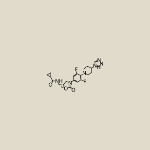 O=C(NC[C@H]1CN(c2cc(F)c(N3CCC(n4cnnn4)CC3)c(F)c2)C(=O)O1)C1CC1